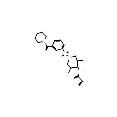 C=CC(=O)NC1C(C)CN(S(=O)(=O)c2cccc(C(=O)N3CCCCC3)c2)CC1C